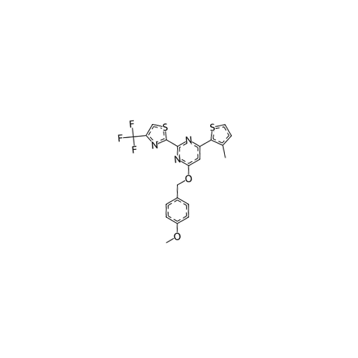 COc1ccc(COc2cc(-c3sccc3C)nc(-c3nc(C(F)(F)F)cs3)n2)cc1